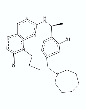 [2H]c1cc(CN2CCCCCC2)ccc1[C@H](C)Nc1ncc2ccc(=O)n(CCC)c2n1